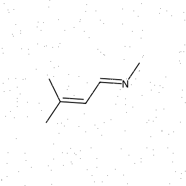 CN=CC=C(C)C